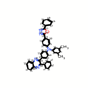 Cc1cc(C)cc(N(c2ccc(-c3nnc(-c4ccccc4)o3)cc2)c2ccc(-c3nc4ccccc4nc3-c3ccccc3)cc2)c1